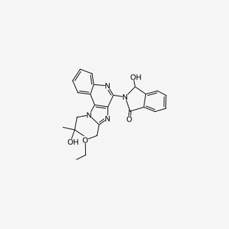 CCOCc1nc2c(N3C(=O)c4ccccc4C3O)nc3ccccc3c2n1CC(C)(C)O